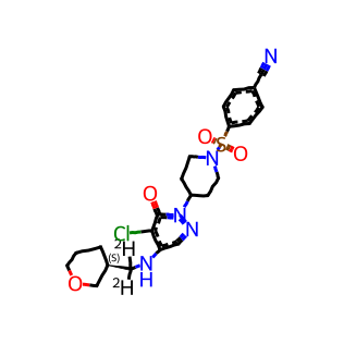 [2H]C([2H])(Nc1cnn(C2CCN(S(=O)(=O)c3ccc(C#N)cc3)CC2)c(=O)c1Cl)[C@@H]1CCCOC1